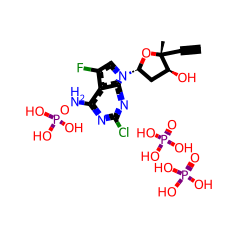 C#C[C@@]1(C)O[C@@H](n2cc(F)c3c(N)nc(Cl)nc32)C[C@@H]1O.O=P(O)(O)O.O=P(O)(O)O.O=P(O)(O)O